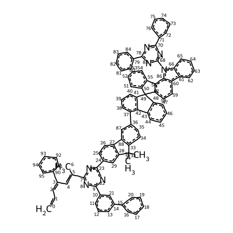 C=C/C=C(\C=C(/C)c1nc(-c2cccc(-c3ccccc3)c2)nc(-c2ccc3c(c2)C(C)(C)c2ccc(-c4cccc5c4-c4ccccc4C54c5ccccc5-c5c4ccc4c6ccccc6n(-c6nc(-c7ccccc7)nc(-c7ccccc7)n6)c54)cc2-3)n1)c1ccccc1